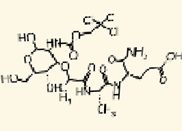 C[C@H](NC(=O)[C@@H](C)O[C@H]1[C@H](O)[C@@H](CO)OC(O)[C@@H]1NC(=O)OCC(Cl)(Cl)Cl)C(=O)N[C@H](CCC(=O)O)C(N)=O